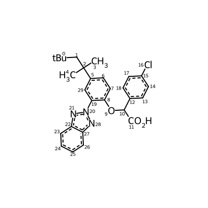 CC(C)(C)CC(C)(C)c1ccc(OC(C(=O)O)c2ccc(Cl)cc2)c(-n2nc3ccccc3n2)c1